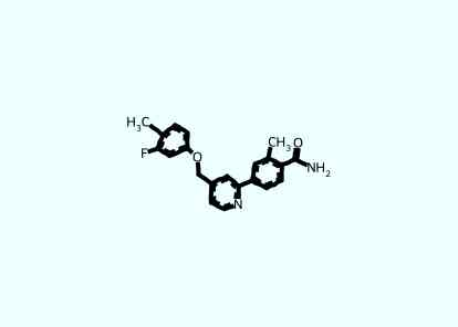 Cc1ccc(OCc2ccnc(-c3ccc(C(N)=O)c(C)c3)c2)cc1F